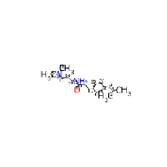 CC(C)Cc1ccc(CCC(=O)NCCCN(C)C)cc1